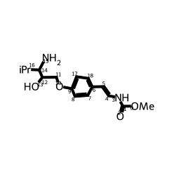 COC(=O)NC=Cc1ccc(OCC(O)C(N)C(C)C)cc1